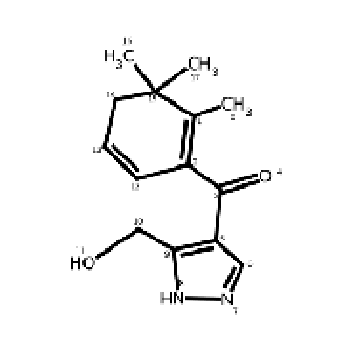 CC1=C(C(=O)c2cn[nH]c2CO)C=CCC1(C)C